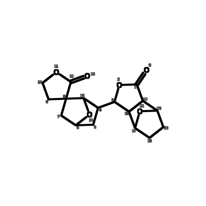 O=C1OC(C2CC3CC4(CCOC4=O)C2O3)C2C3CCC(O3)C12